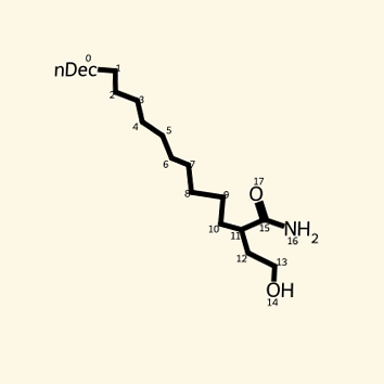 CCCCCCCCCCCCCCCCCCCCC(CCO)C(N)=O